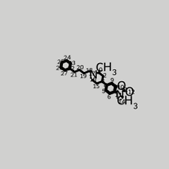 C[C@H]1CC(c2ccc3c(c2)oc(=O)n3C)CCN1CCCCc1ccccc1